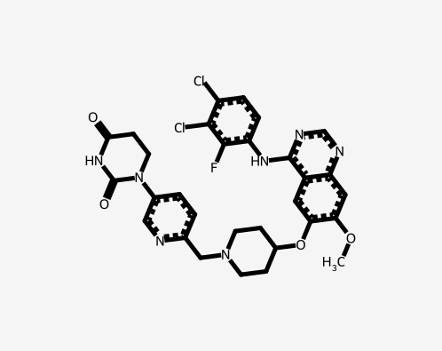 COc1cc2ncnc(Nc3ccc(Cl)c(Cl)c3F)c2cc1OC1CCN(Cc2ccc(N3CCC(=O)NC3=O)cn2)CC1